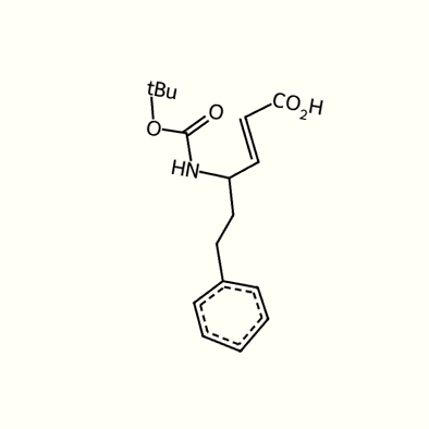 CC(C)(C)OC(=O)NC(/C=C/C(=O)O)CCc1ccccc1